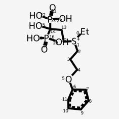 CC[S+](CCCOc1ccccc1)CCC(O)(P(=O)(O)O)P(=O)(O)O